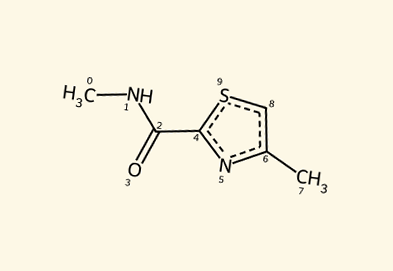 CNC(=O)c1nc(C)cs1